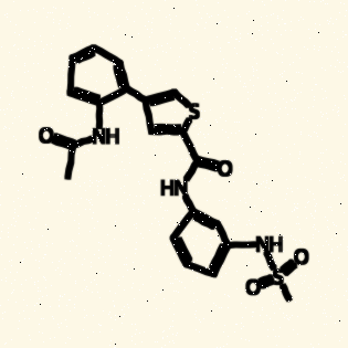 CC(=O)Nc1ccccc1-c1csc(C(=O)Nc2cccc(NS(C)(=O)=O)c2)c1